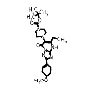 CCc1[nH]c2nc(C3=CCC(OC)CC3)nn2c(=O)c1N1CCN(C(=O)OC(C)(C)C)CC1